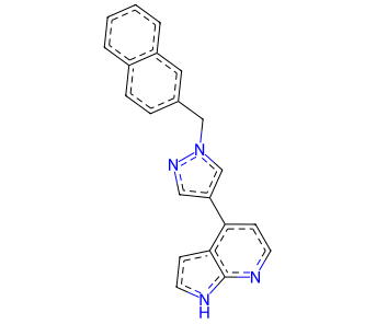 c1ccc2cc(Cn3cc(-c4ccnc5[nH]ccc45)cn3)ccc2c1